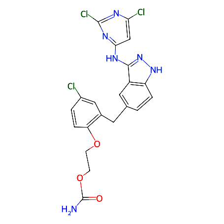 NC(=O)OCCOc1ccc(Cl)cc1Cc1ccc2[nH]nc(Nc3cc(Cl)nc(Cl)n3)c2c1